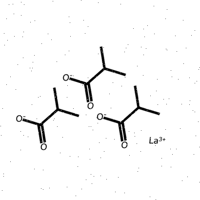 CC(C)C(=O)[O-].CC(C)C(=O)[O-].CC(C)C(=O)[O-].[La+3]